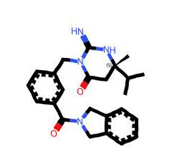 CC(C)[C@]1(C)CC(=O)N(Cc2cccc(C(=O)N3Cc4ccccc4C3)c2)C(=N)N1